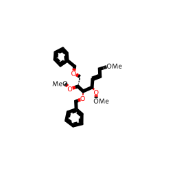 COC/C=C/[C@@H](OOC)[C@H](OCc1ccccc1)[C@@H](COCc1ccccc1)OOC